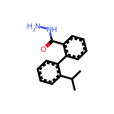 CC(C)c1ccccc1-c1ccccc1C(=O)NN